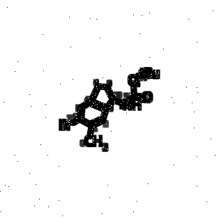 Cc1cc2c(cc1Br)CCC2NC(=O)OC(C)(C)C